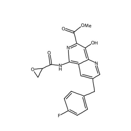 COC(=O)c1nc(NC(=O)C2CO2)c2cc(Cc3ccc(F)cc3)cnc2c1O